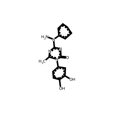 Cc1nc(N(N)c2ccccc2)nc(=O)n1-c1ccc(O)c(O)c1